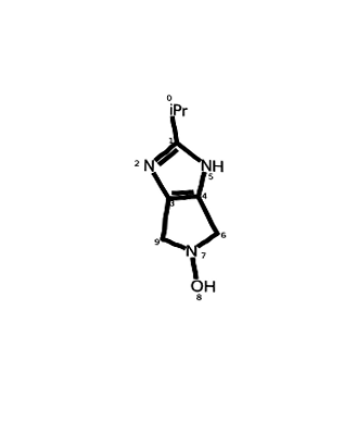 CC(C)c1nc2c([nH]1)CN(O)C2